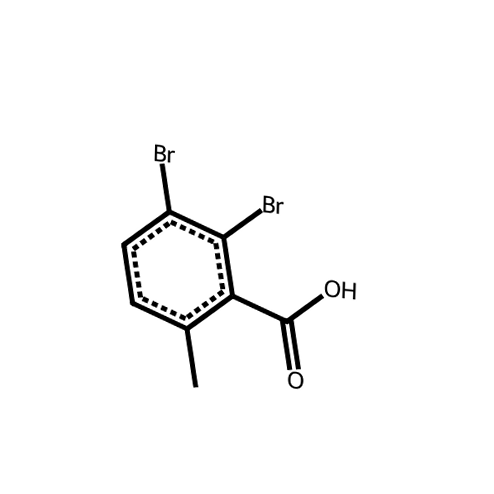 Cc1ccc(Br)c(Br)c1C(=O)O